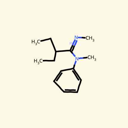 CCC(CC)/C(=N/C)N(C)c1ccccc1